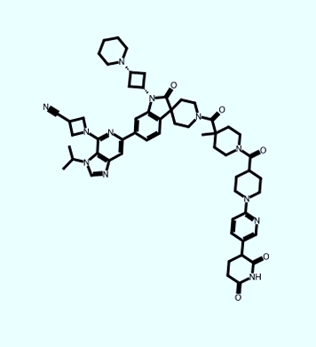 CC(C)n1cnc2cc(-c3ccc4c(c3)N([C@H]3C[C@@H](N5CCCCC5)C3)C(=O)C43CCN(C(=O)C4(C)CCN(C(=O)C5CCN(c6ccc(C7CCC(=O)NC7=O)cn6)CC5)CC4)CC3)nc(N3CC(C#N)C3)c21